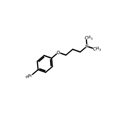 [CH2]CCc1ccc(OCCCN(C)C)cc1